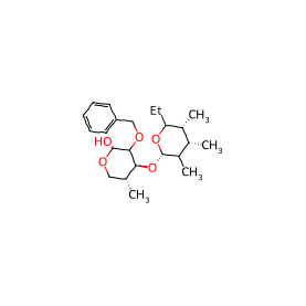 CCC1O[C@@H](O[C@@H]2C(OCc3ccccc3)[C@H](O)OC[C@H]2C)C(C)[C@@H](C)[C@H]1C